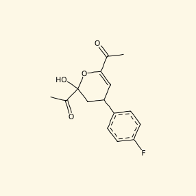 CC(=O)C1=CC(c2ccc(F)cc2)CC(O)(C(C)=O)O1